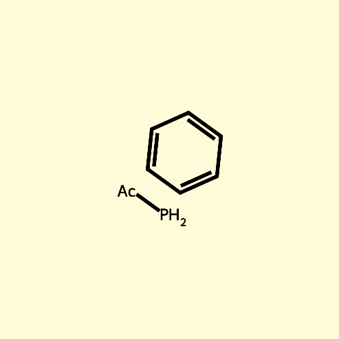 CC(=O)P.c1ccccc1